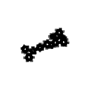 c1ccc(-c2nc(-c3ccc(-c4ccc5c(c4)sc4cc6c(cc45)C4(c5ccccc5-c5ccccc54)c4cccc5cccc-6c45)cc3)sc2-c2ccccc2)cc1